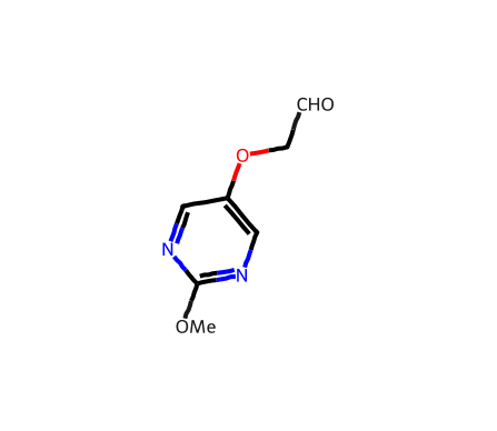 COc1ncc(OCC=O)cn1